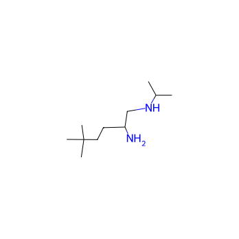 CC(C)NCC(N)CCC(C)(C)C